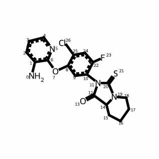 Nc1cccnc1Oc1cc(N2C(=O)C3CCCCN3C2=S)c(F)cc1Cl